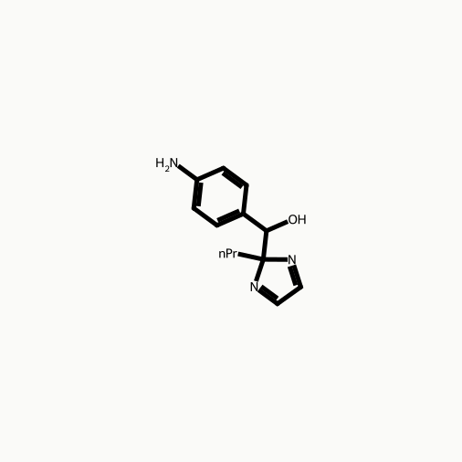 CCCC1(C(O)c2ccc(N)cc2)N=CC=N1